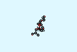 c1ccc(-c2cc(-c3ccccc3)cc(-c3cccc(-c4nc(-c5ccccc5)nc(-c5cccc6sc7ccc(-c8ccc9c(c8)c8ccccc8n9-c8cccc(-c9cccc%10c9sc9ccccc9%10)c8)cc7c56)n4)c3)c2)cc1